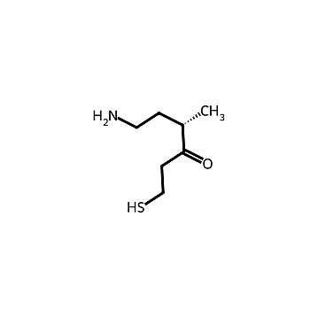 C[C@@H](CCN)C(=O)CCS